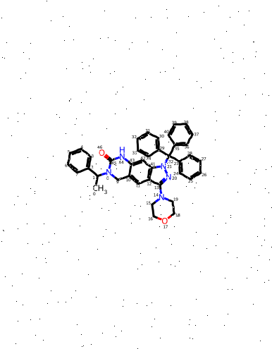 CC(c1ccccc1)N1Cc2cc3c(N4CCOCC4)nn(C(c4ccccc4)(c4ccccc4)c4ccccc4)c3cc2NC1=O